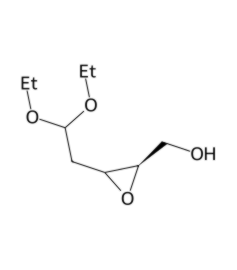 CCOC(CC1O[C@@H]1CO)OCC